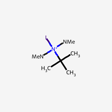 CN[N+](I)(NC)C(C)(C)C